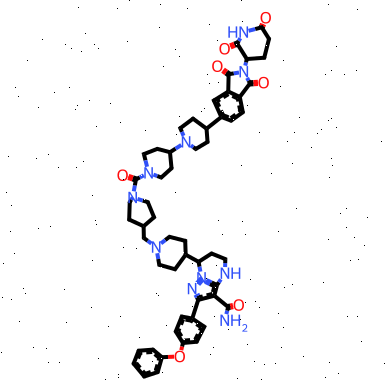 NC(=O)c1c(-c2ccc(Oc3ccccc3)cc2)nn2c1NCCC2C1CCN(CC2CCN(C(=O)N3CCC(N4CCC(c5ccc6c(c5)C(=O)N(C5CCC(=O)NC5=O)C6=O)CC4)CC3)CC2)CC1